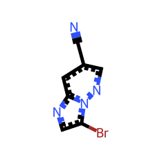 N#Cc1cnn2c(Br)cnc2c1